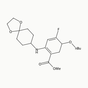 CCCCOC1CC(C(=O)OC)=C(NC2CCC3(CC2)OCCO3)C=C1F